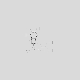 C[C@H]1O[C@@H](n2c(NC3CC3)nc3c(Cl)c(Cl)c(Cl)cc32)[C@H](O)[C@@H]1O